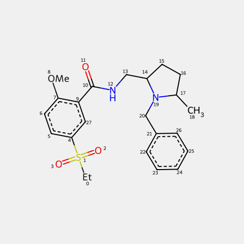 CCS(=O)(=O)c1ccc(OC)c(C(=O)NCC2CCC(C)N2Cc2ccccc2)c1